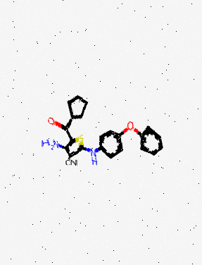 N#Cc1c(Nc2ccc(Oc3ccccc3)cc2)sc(C(=O)C2CCCC2)c1N